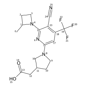 CC1CCN1c1nc(N2CCC(CC(=O)O)C2)cc(C(F)(F)F)c1C#N